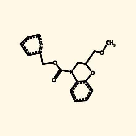 COCC1CN(C(=O)OCc2ccccc2)c2ccccc2O1